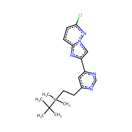 CC(C)(C)[Si](C)(C)CCc1cc(-c2cn3nc(Cl)ccc3n2)ncn1